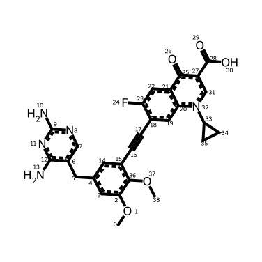 COc1cc(Cc2cnc(N)nc2N)cc(C#Cc2cc3c(cc2F)c(=O)c(C(=O)O)cn3C2CC2)c1OC